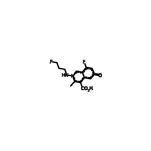 Cc1c(C(=O)O)c2cc(=O)cc(F)c-2cn1NCCCF